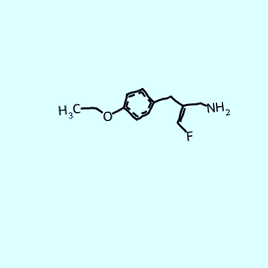 CCOc1ccc(CC(=CF)CN)cc1